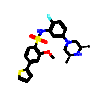 COc1cc(-c2cccs2)ccc1S(=O)(=O)Nc1cc(N2C[C@@H](C)N[C@@H](C)C2)ccc1F